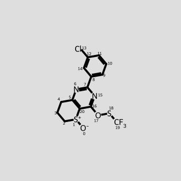 [O-][S+]1CCCc2nc(-c3cccc(Cl)c3)nc(OSC(F)(F)F)c21